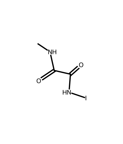 CNC(=O)C(=O)NI